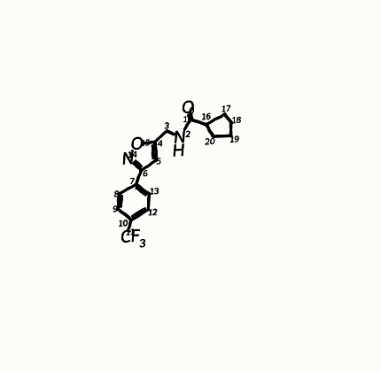 O=C(NCc1cc(-c2ccc(C(F)(F)F)cc2)no1)C1CCCC1